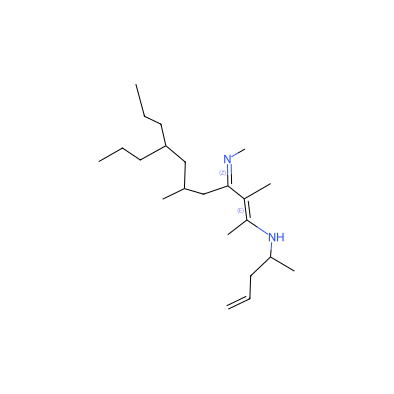 C=CCC(C)N/C(C)=C(C)/C(CC(C)CC(CCC)CCC)=N\C